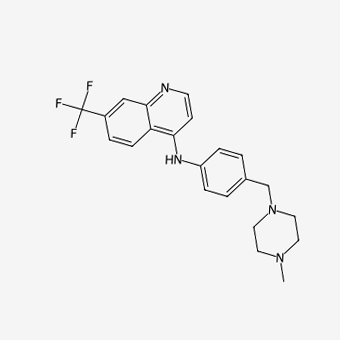 CN1CCN(Cc2ccc(Nc3ccnc4cc(C(F)(F)F)ccc34)cc2)CC1